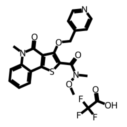 CON(C)C(=O)c1sc2c(c1OCc1ccncc1)c(=O)n(C)c1ccccc21.O=C(O)C(F)(F)F